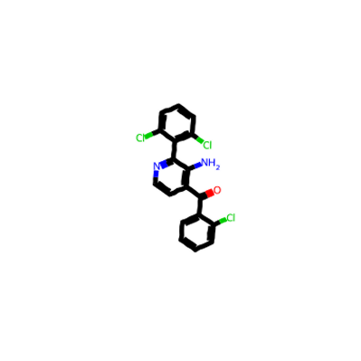 Nc1c(C(=O)c2ccccc2Cl)ccnc1-c1c(Cl)cccc1Cl